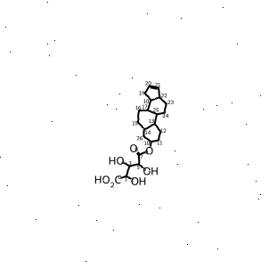 O=C(O)C(O)C(O)C(O)C(=O)OC1CCC2C(CCC3C4CC=CC4CCC23)C1